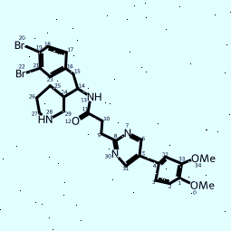 COc1ccc(-c2cnc(CCC(=O)NC(Cc3ccc(Br)c(Br)c3)C3CCCNC3)nc2)cc1OC